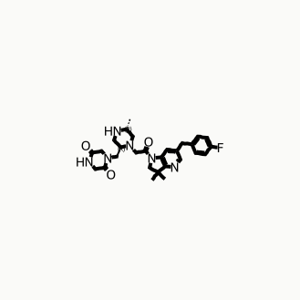 C[C@@H]1CN(CC(=O)N2CC(C)(C)c3ncc(Cc4ccc(F)cc4)cc32)[C@@H](CN2CC(=O)NCC2=O)CN1